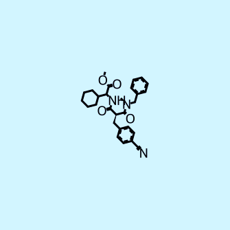 COC(=O)C(NC(=O)[C@H](Cc1ccc(C#N)cc1)C(=O)N(C)Cc1ccccc1)C1CCCCC1